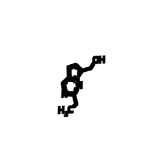 CCc1ncc2ccc(CO)n2n1